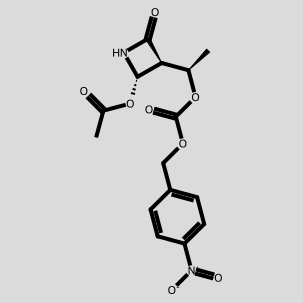 CC(=O)O[C@@H]1NC(=O)[C@H]1[C@@H](C)OC(=O)OCc1ccc([N+](=O)[O-])cc1